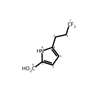 O=C(O)c1ccc(CCC(F)(F)F)[nH]1